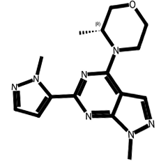 C[C@@H]1COCCN1c1nc(-c2ccnn2C)nc2c1cnn2C